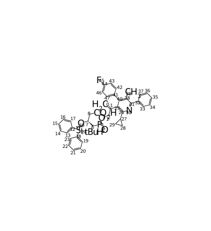 C=C(CO[PH](=O)C[C@H](CC(=O)O)O[Si](c1ccccc1)(c1ccccc1)C(C)(C)C)c1c(C2CC2)nc(-c2ccccc2)c(C)c1-c1ccc(F)cc1